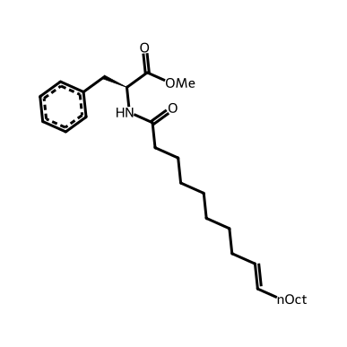 CCCCCCCCC=CCCCCCCCC(=O)N[C@@H](Cc1ccccc1)C(=O)OC